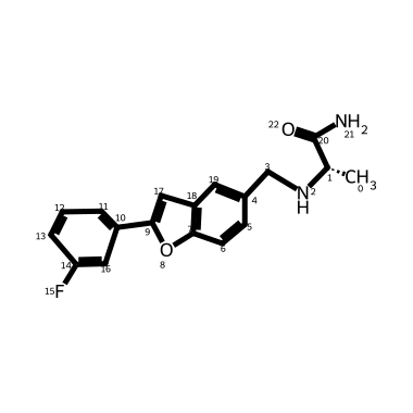 C[C@H](NCc1ccc2oc(-c3cccc(F)c3)cc2c1)C(N)=O